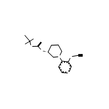 CC(C)(C)OC(=O)N[C@H]1CCCN(c2ccncc2SC#N)C1